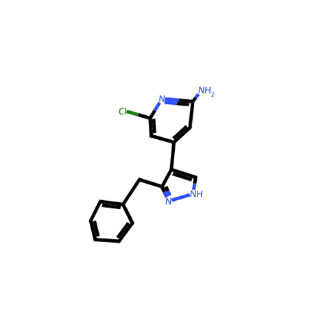 Nc1cc(-c2c[nH]nc2Cc2ccccc2)cc(Cl)n1